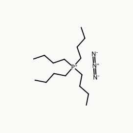 CCCC[P+](CCCC)(CCCC)CCCC.[N-]=[N+]=[N-]